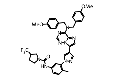 COc1ccc(CN(Cc2ccc(OC)cc2)c2ncnn3c(-c4cnn(-c5cc(NC(=O)N6CCC(C(F)(F)F)C6)ccc5C)c4)cnc23)cc1